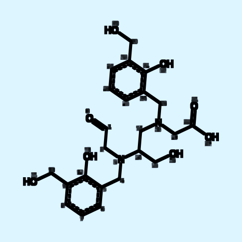 O=CCN(Cc1cccc(CO)c1O)C(CO)CN(CC(=O)O)Cc1cccc(CO)c1O